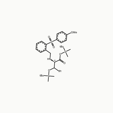 COc1ccc(S(=O)(=O)c2ccccc2CN[C@@H](C(=O)O[Si](C)(C)C(C)(C)C)C(O[Si](C)(C)C(C)(C)C)C(C)C)cc1